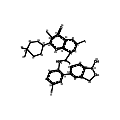 Cc1cc(C(C)Nc2ccc(F)nc2-c2ccc3c(c2)COB3O)c2oc(N3CCC(C)(C)CC3)c(C)c(=O)c2c1